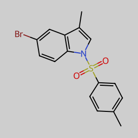 Cc1ccc(S(=O)(=O)n2cc(C)c3cc(Br)ccc32)cc1